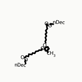 CCCCCCCCCCCCOC(=O)CCCCCCCCCCOc1ccc(C)cc1OCCCCCCCCCCC(=O)OCCCCCCCCCCCC